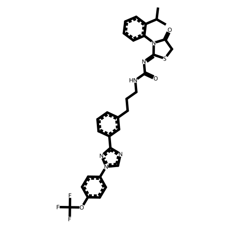 CC(C)c1ccccc1N1C(=O)CS/C1=N\C(=O)NCCCc1cccc(-c2ncn(-c3ccc(OC(F)(F)F)cc3)n2)c1